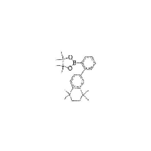 CC1(C)CCC(C)(C)c2cc(-c3ccccc3B3OC(C)(C)C(C)(C)O3)ccc21